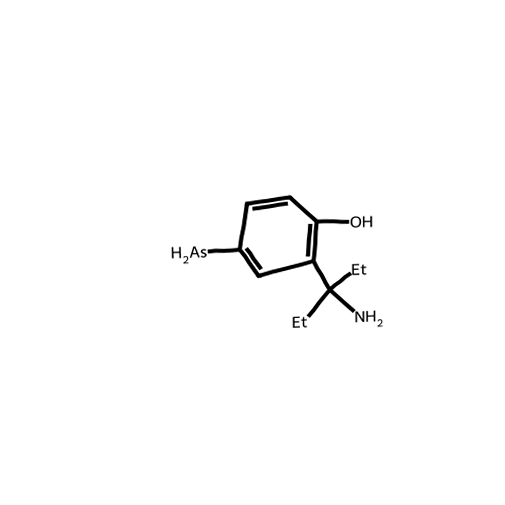 CCC(N)(CC)c1cc([AsH2])ccc1O